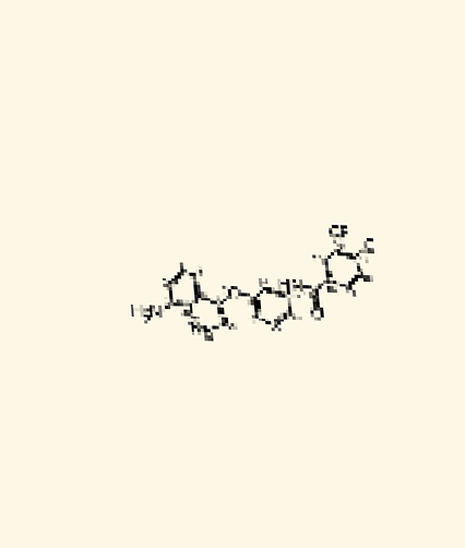 Nc1cccc2c(Oc3cccc(NC(=O)c4ccc(Cl)c(C(F)(F)F)c4)c3)ccnc12